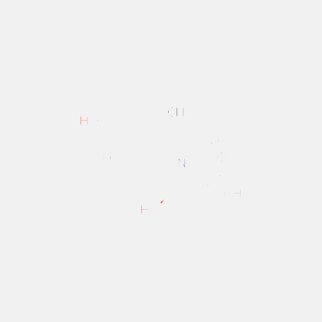 CC(CCC(=O)O)C(=O)N1C[C@H](O)C[C@H]1C(=O)O